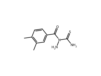 Cc1ccc(C(=O)N(N)C(N)=S)cc1C